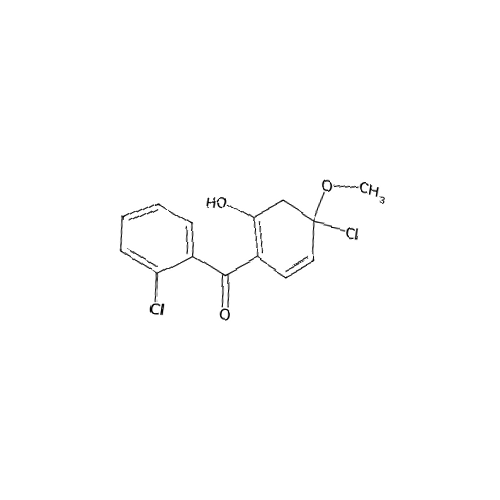 COC1(Cl)C=CC(C(=O)c2ccccc2Cl)=C(O)C1